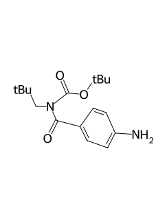 CC(C)(C)CN(C(=O)OC(C)(C)C)C(=O)c1ccc(N)cc1